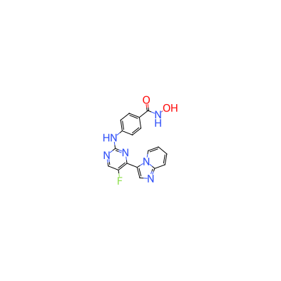 O=C(NO)c1ccc(Nc2ncc(F)c(-c3cnc4ccccn34)n2)cc1